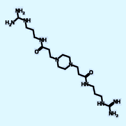 N=C(N)NCCCNC(=O)CCN1CCN(CCC(=O)NCCCNC(N)N)CC1